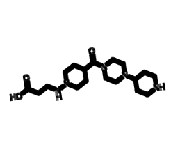 O=C(O)CCNN1CCC(C(=O)N2CCN(C3CCNCC3)CC2)CC1